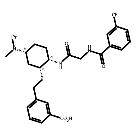 CC(C)N(C)[C@@H]1CC[C@H](NC(=O)CNC(=O)c2cccc(C(F)(F)F)c2)[C@H](CCc2cccc(C(=O)O)c2)C1